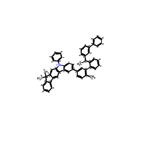 Cc1ccc(-c2ccc3c(c2)c2cc4c(cc2n3-c2ccccc2)C(C)(C)c2ccccc2-4)cc1-c1ccccc1C(C)c1cccc(-c2ccccc2)c1